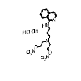 Cl.Cl.O=[N+]([O-])OCCN(CCCNc1nccc2ccccc12)CCO[N+](=O)[O-]